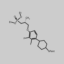 CCCCCC1CCC(c2ccc(OC[C@@H](C)CP(=O)(OCC)OCC)c(F)c2F)CC1